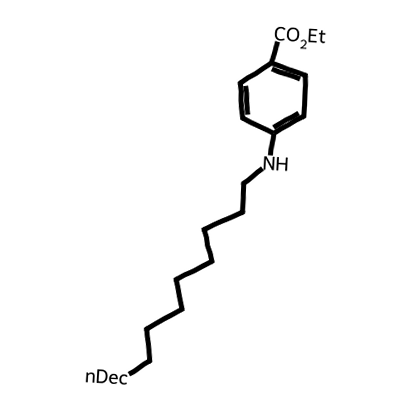 CCCCCCCCCCCCCCCCCCNc1ccc(C(=O)OCC)cc1